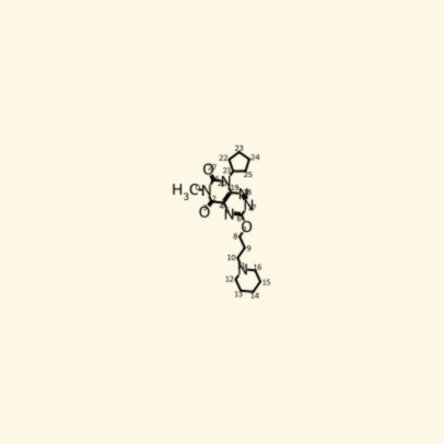 Cn1c(=O)c2nc(OCCCN3CCCCC3)nnc2n(C2CCCC2)c1=O